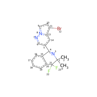 CC1(C)N=C(c2cnn3ccc(Br)c3c2)c2ccccc2C1(F)F